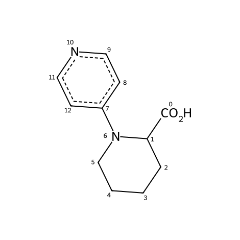 O=C(O)C1CCCCN1c1ccncc1